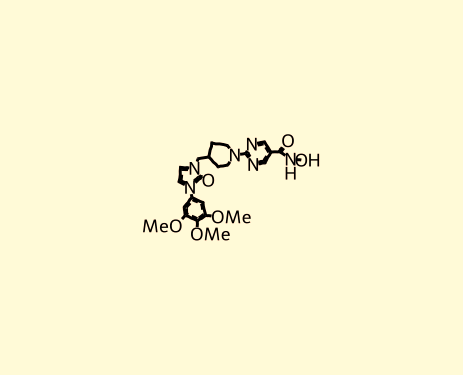 COc1cc(-n2ccn(CC3CCN(c4ncc(C(=O)NO)cn4)CC3)c2=O)cc(OC)c1OC